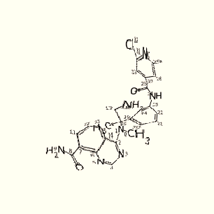 CN(c1ncnc2c(C(N)=O)cccc12)C(C)(CN)c1cccc(NC(=O)c2ccnc(Cl)c2)c1